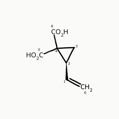 C=C[C@@H]1CC1(C(=O)O)C(=O)O